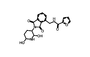 O=C(NCc1cccc2c1C(=O)N(C1CCC(O)NC1O)C2=O)c1ccco1